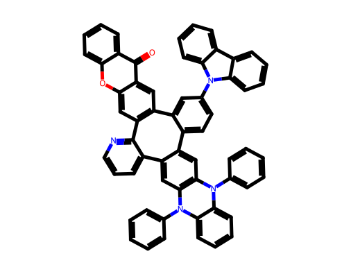 O=c1c2ccccc2oc2cc3c(cc12)c1cc(-n2c4ccccc4c4ccccc42)ccc1c1cc2c(cc1c1cccnc13)n(-c1ccccc1)c1ccccc1n2-c1ccccc1